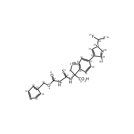 CC(C)(C)CC(NC(=S)NC(=O)OCc1ccccc1)(C(=O)O)c1ccc(-c2cn(C(F)F)nc2I)cc1